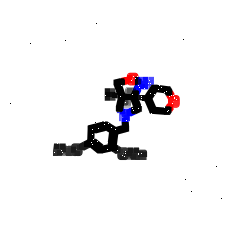 COc1ccc(CN2C[C@H]3CON[C@@]3(C3CCOCC3)C2)c(OC)c1